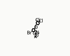 CN(Cc1cc(Br)ccc1OCc1ccc(Cl)c(Cl)c1)C(=O)OC(C)(C)C